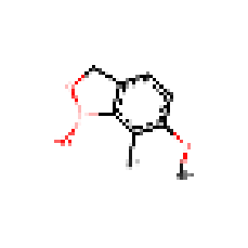 CCCOc1ccc2c(c1C(C)C)B(O)OC2